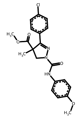 COC(=O)C1(C)CN(C(=O)Nc2ccc(OC)cc2)N=C1c1ccc(Cl)cc1